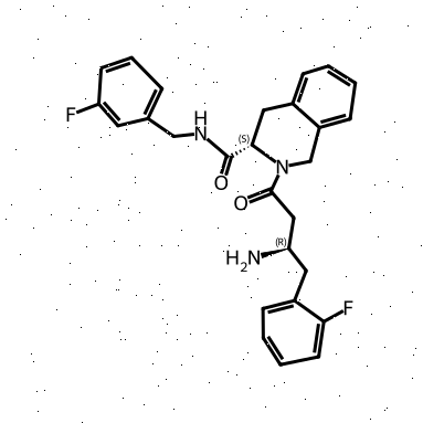 N[C@@H](CC(=O)N1Cc2ccccc2C[C@H]1C(=O)NCc1cccc(F)c1)Cc1ccccc1F